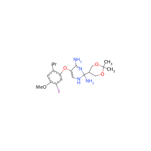 COc1cc(C(C)C)c(OC2=CNC(N)(C3COC(C)(C)OC3)N=C2N)cc1I